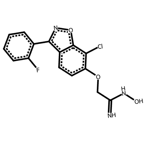 N=C(COc1ccc2c(-c3ccccc3F)noc2c1Cl)NO